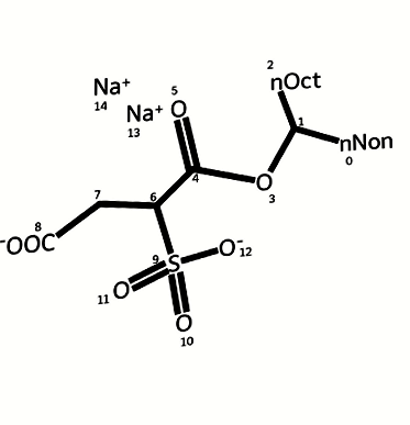 CCCCCCCCCC(CCCCCCCC)OC(=O)C(CC(=O)[O-])S(=O)(=O)[O-].[Na+].[Na+]